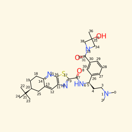 CN(C)CC[C@@H](NC(=O)c1nc2cc3c(nc2s1)CC[C@H](C(C)(C)C)C3)c1cccc(C(=O)N2CC(C)(O)C2)c1